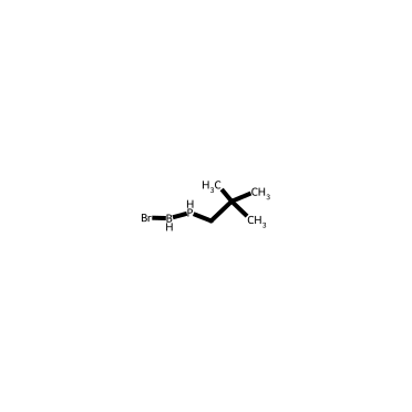 CC(C)(C)CPBBr